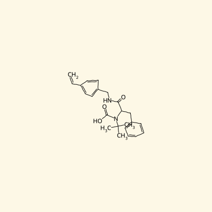 C=Cc1ccc(CNC(=O)C(Cc2ccccc2)N(C(=O)O)C(C)(C)C)cc1